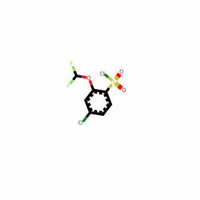 O=S(=O)(Cl)c1ccc(Cl)cc1OC(F)F